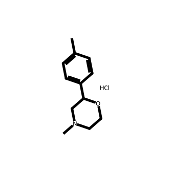 Cc1ccc(C2CN(C)CCO2)cc1.Cl